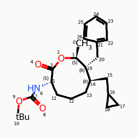 C[C@@H]1OC(=O)[C@@H](NC(=O)OC(C)(C)C)CCC[C@H](CC2CC2)[C@H]1Cc1ccccc1